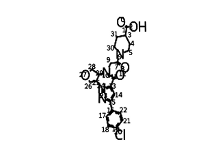 O=C(O)C1CCN(C(=O)CN2C(=O)c3cc(-c4ccc(Cl)cc4)nn3C3COCC32)CC1